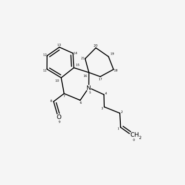 C=CCCCN1CC(C=O)c2ccccc2C12CCCCC2